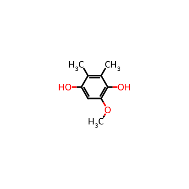 COc1cc(O)c(C)c(C)c1O